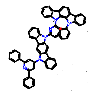 c1ccc(-c2cc(-n3c4ccccc4c4cc5c(cc43)c3ccccc3n5-c3cccc(-n4c5ccccc5c5ccc6c7ccccc7n(-c7ccccc7)c6c54)n3)cc(-c3ccccc3)n2)cc1